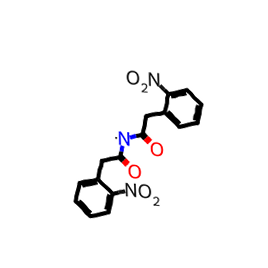 O=C(Cc1ccccc1[N+](=O)[O-])[N]C(=O)Cc1ccccc1[N+](=O)[O-]